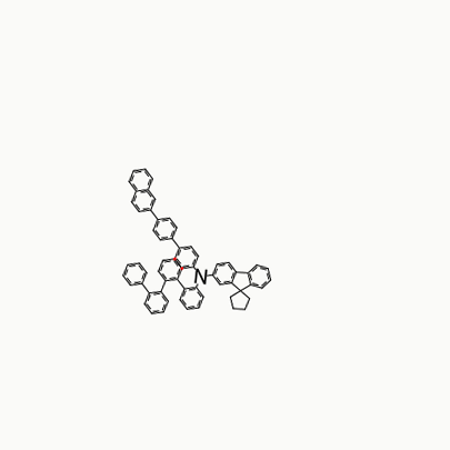 c1ccc(-c2ccccc2-c2ccccc2-c2ccccc2N(c2ccc(-c3ccc(-c4ccc5ccccc5c4)cc3)cc2)c2ccc3c(c2)C2(CCCC2)c2ccccc2-3)cc1